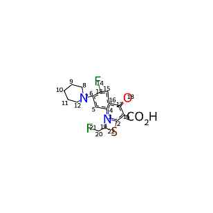 O=C(O)c1c2n(c3cc(N4CCCCC4)c(F)cc3c1=O)C(CF)S2